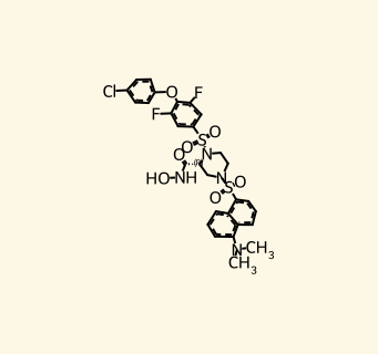 CN(C)c1cccc2c(S(=O)(=O)N3CCN(S(=O)(=O)c4cc(F)c(Oc5ccc(Cl)cc5)c(F)c4)[C@@H](C(=O)NO)C3)cccc12